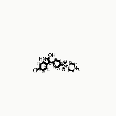 CN1CCN(S(=O)(=O)c2ccc(-c3c(O)[nH]c4cc(Cl)ccc34)nc2)CC1